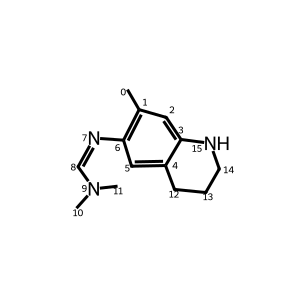 Cc1cc2c(cc1/N=C\N(C)C)CCCN2